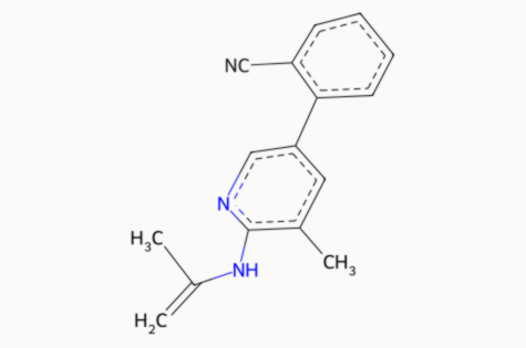 C=C(C)Nc1ncc(-c2ccccc2C#N)cc1C